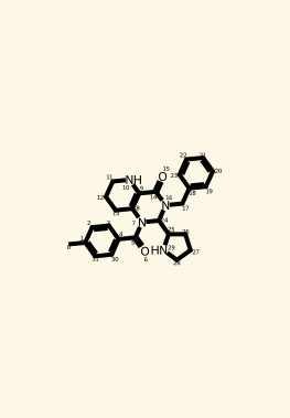 Cc1ccc(C(=O)N2C3=C(NCCC3)C(=O)N(Cc3ccccc3)C2C2CCCN2)cc1